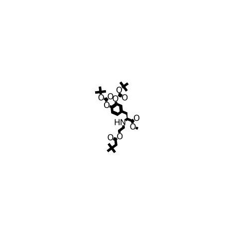 COC(=O)[C@H](Cc1ccc(OC(=O)OC(C)(C)C)c(OC(=O)OC(C)(C)C)c1)NCCOC(=O)CC(C)(C)C